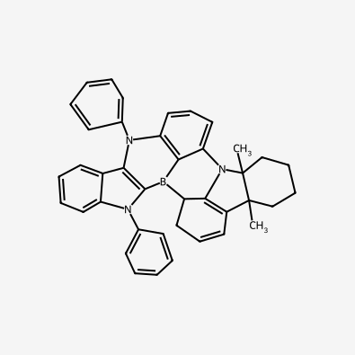 CC12CCCCC1(C)N1C3=C2C=CCC3B2c3c(cccc31)N(c1ccccc1)c1c2n(-c2ccccc2)c2ccccc12